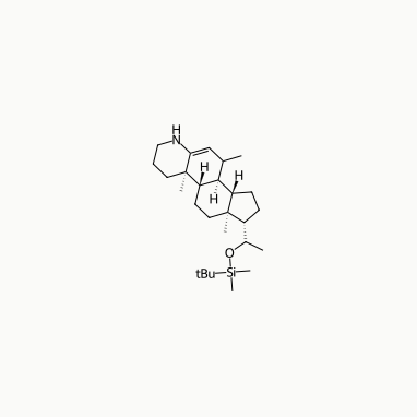 CC1C=C2NCCC[C@]2(C)[C@H]2CC[C@]3(C)[C@@H](C(C)O[Si](C)(C)C(C)(C)C)CC[C@H]3[C@H]12